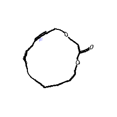 O=C1COC/C=C/CCCCCCCCO1